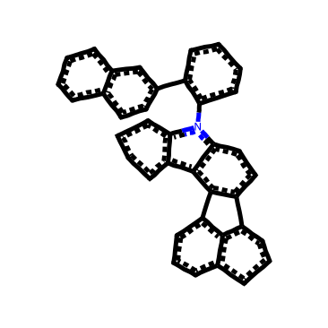 c1ccc(-n2c3ccccc3c3c4c(ccc32)-c2cccc3cccc-4c23)c(-c2ccc3ccccc3c2)c1